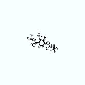 CC(C)(C)NC(=O)Oc1ccc(C(=O)OC(C)(C)C)c(N)c1Br